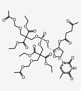 CCOC(=O)C(COCOC(C)=O)(COP(=O)(OC[C@H]1O[C@@H](n2cc(C)c(=O)[nH]c2=O)C[C@@H]1OC(=O)CCC(C)=O)OCC(COCOC(C)=O)(C(=O)OCC)C(=O)OCC)C(=O)OCC